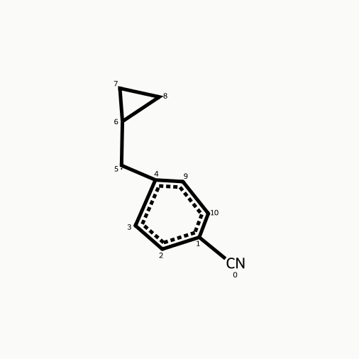 N#Cc1ccc([CH]C2CC2)cc1